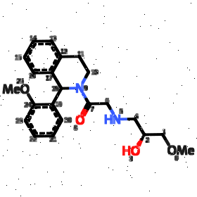 COC[C@@H](O)CNCC(=O)N1CCc2ccccc2C1c1ccccc1OC